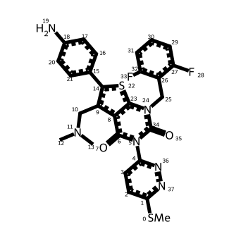 CSc1ccc(-n2c(=O)c3c(CN(C)C)c(-c4ccc(N)cc4)sc3n(Cc3c(F)cccc3F)c2=O)nn1